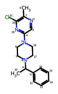 Cc1ncc(N2CCN(C(C)c3ccccc3)CC2)nc1Cl